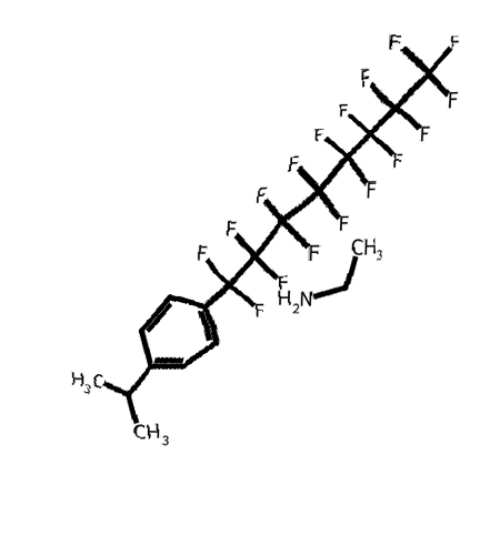 CC(C)c1ccc(C(F)(F)C(F)(F)C(F)(F)C(F)(F)C(F)(F)C(F)(F)C(F)(F)C(F)(F)F)cc1.CCN